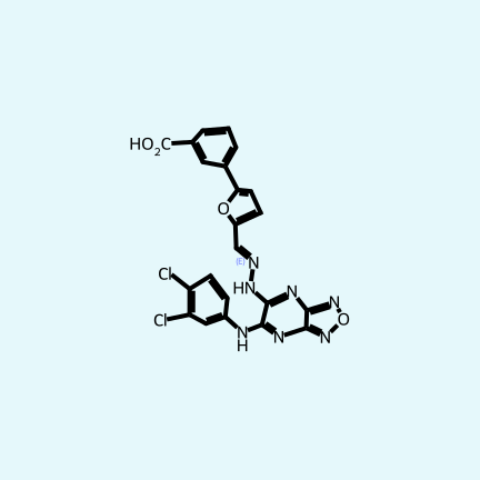 O=C(O)c1cccc(-c2ccc(/C=N/Nc3nc4nonc4nc3Nc3ccc(Cl)c(Cl)c3)o2)c1